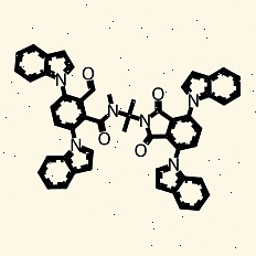 CN(C(=O)c1c(-n2ccc3ccccc32)ccc(-n2ccc3ccccc32)c1C=O)C(C)(C)N1C(=O)c2c(-n3ccc4ccccc43)ccc(-n3ccc4ccccc43)c2C1=O